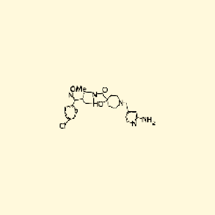 CON=C(c1ccc(Cl)cc1)C1CCN(C(=O)C2(O)CCN(Cc3ccnc(N)c3)CC2)CC1